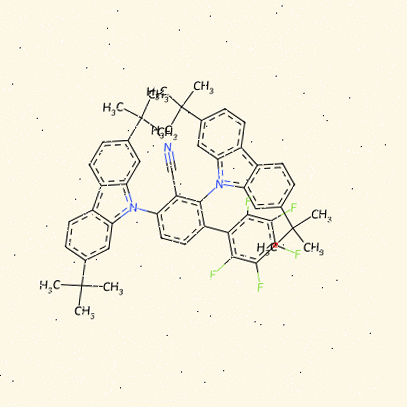 CC(C)(C)c1ccc2c3ccc(C(C)(C)C)cc3n(-c3ccc(-c4c(F)c(F)c(F)c(F)c4F)c(-n4c5cc(C(C)(C)C)ccc5c5ccc(C(C)(C)C)cc54)c3C#N)c2c1